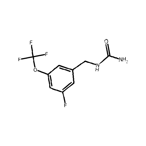 NC(=O)NCc1cc(F)cc(OC(F)(F)F)c1